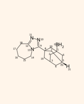 BC12CC3C[C@@H](C1)CC(c1nnc4n1CCCCC4)(C3)C2